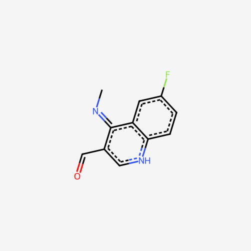 C/N=c1/c(C=O)c[nH]c2ccc(F)cc12